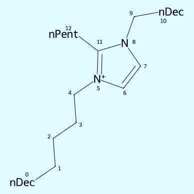 CCCCCCCCCCCCCC[n+]1ccn(CCCCCCCCCCC)c1CCCCC